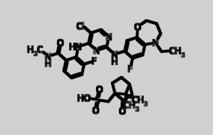 CC1(C)C2CCC1(CS(=O)(=O)O)C(=O)C2.CCN1CCCOc2cc(Nc3ncc(Cl)c(Nc4c(F)cccc4C(=O)NC)n3)c(F)cc21